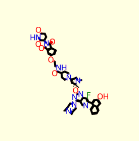 CN1C[C@H](N2CCC(C(=O)NCCOc3ccc4c(c3)C(=O)N(C3CCC(=O)NC3=O)C4=O)CC2)C[C@@H]1COc1nc(N2CC3C[N+]34CC4C2)c2cnc(-c3cc(O)cc4ccccc34)c(F)c2n1